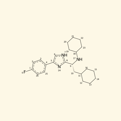 Fc1ccc(-c2c[nH]c([C@@H](CC3CCCCC3)NC3CCCCC3)n2)cc1